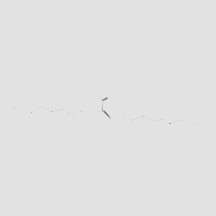 CCCCCCCCS/C=C(/OCNCCCCOC)C(=O)O